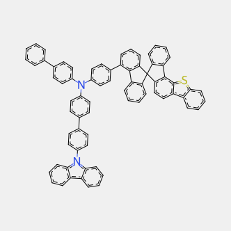 c1ccc(-c2ccc(N(c3ccc(-c4ccc(-n5c6ccccc6c6ccccc65)cc4)cc3)c3ccc(-c4cccc5c4-c4ccccc4C54c5ccccc5-c5c4ccc4c5sc5ccccc54)cc3)cc2)cc1